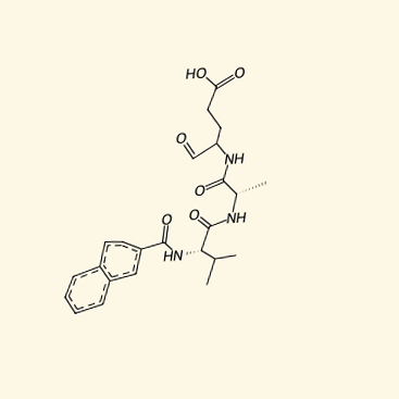 CC(C)[C@H](NC(=O)c1ccc2ccccc2c1)C(=O)N[C@@H](C)C(=O)NC(C=O)CCC(=O)O